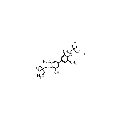 CCC1(COc2c(C)cc(-c3cc(C)c(OCC4(CC)COC4)c(C)c3)cc2C)COC1